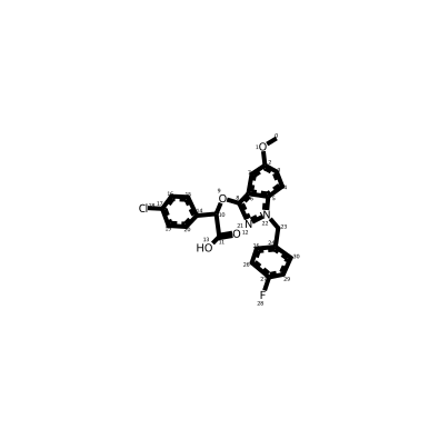 COc1ccc2c(c1)c(OC(C(=O)O)c1ccc(Cl)cc1)nn2Cc1ccc(F)cc1